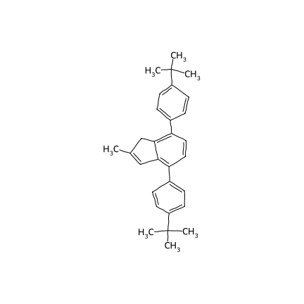 CC1=Cc2c(-c3ccc(C(C)(C)C)cc3)ccc(-c3ccc(C(C)(C)C)cc3)c2C1